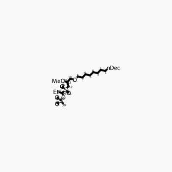 CCCCCCCCCCCCCCCCCCOCC(CS(=O)(=O)C(CC)OS(C)(=O)=O)OC